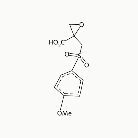 COc1ccc(S(=O)(=O)CC2(C(=O)O)CO2)cc1